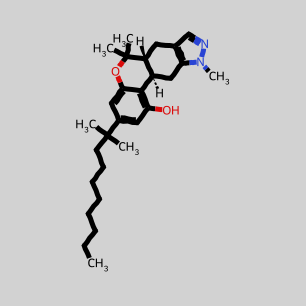 CCCCCCCCC(C)(C)c1cc(O)c2c(c1)OC(C)(C)[C@@H]1Cc3cnn(C)c3C[C@@H]21